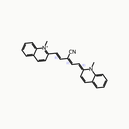 CN1/C(=C/C=C(C#N)/C=C/c2ccc3ccccc3[n+]2C)C=Cc2ccccc21